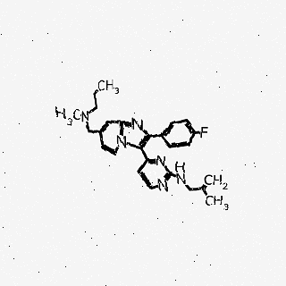 C=C(C)CNc1nccc(-c2c(-c3ccc(F)cc3)nc3cc(CN(C)CCC)ccn23)n1